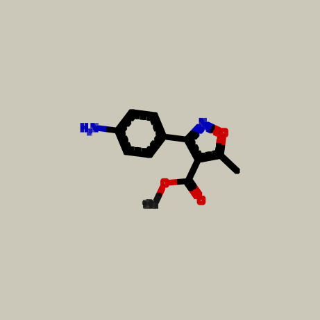 Cc1onc(-c2ccc(N)cc2)c1C(=O)OC(C)(C)C